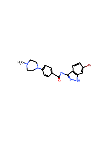 CN1CCN(c2ccc(C(=O)Nc3n[nH]c4cc(Br)ccc34)cc2)CC1